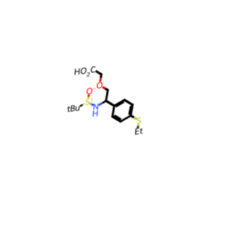 CCSc1ccc(C(COCC(=O)O)N[S@+]([O-])C(C)(C)C)cc1